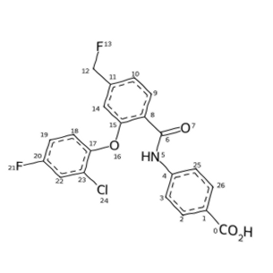 O=C(O)c1ccc(NC(=O)c2ccc(CF)cc2Oc2ccc(F)cc2Cl)cc1